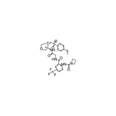 CSc1ccc(S(=O)(=O)C[C@@H]2CCOC[C@@H]2NC(=O)CNC(=O)c2cc(C(F)(F)F)ccc2NC(=O)N2CCC2)cc1